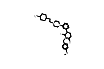 COc1ccc(CN2C(=O)CCC(c3cccc(N4CCN(CCC5CCC(N)CC5)CC4)c3)C2=O)cc1